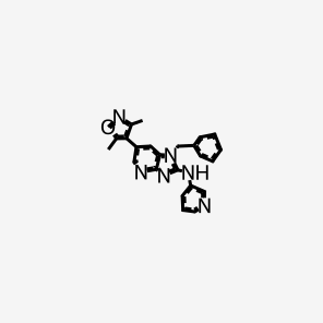 Cc1noc(C)c1-c1cnc2nc(Nc3cccnc3)n(Cc3ccccc3)c2c1